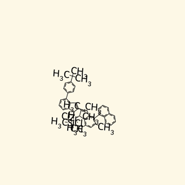 CC1=Cc2c(-c3cccc4ccccc34)c(C)cc(C)c2[CH]1[Zr]([Cl])([Cl])([CH]1C(C(C)C)=Cc2c(-c3ccc(C(C)(C)C)cc3)cccc21)[SiH](C)C